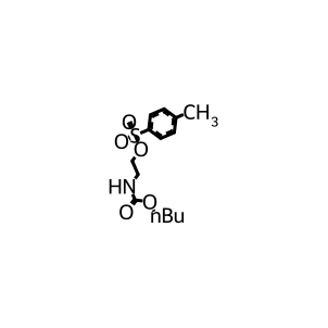 CCCCOC(=O)NCCOS(=O)(=O)c1ccc(C)cc1